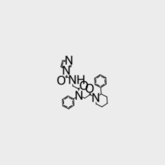 O=C(CNC(=O)n1ccnc1)N(CC(=O)N1CCCCC1c1ccccc1)c1ccccc1